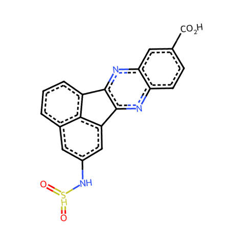 O=C(O)c1ccc2nc3c(nc2c1)-c1cccc2cc(N[SH](=O)=O)cc-3c12